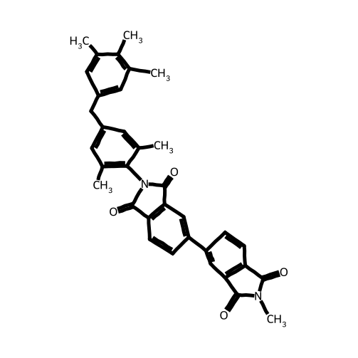 Cc1cc(Cc2cc(C)c(N3C(=O)c4ccc(-c5ccc6c(c5)C(=O)N(C)C6=O)cc4C3=O)c(C)c2)cc(C)c1C